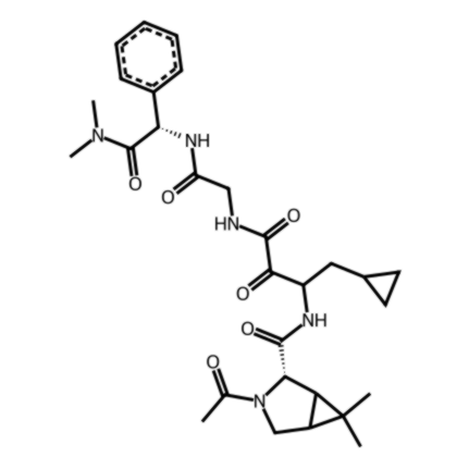 CC(=O)N1CC2C([C@H]1C(=O)NC(CC1CC1)C(=O)C(=O)NCC(=O)N[C@H](C(=O)N(C)C)c1ccccc1)C2(C)C